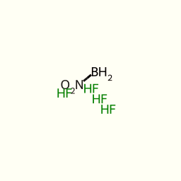 B[N+](=O)[O-].F.F.F.F